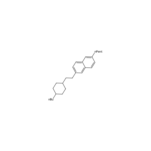 CCCCCc1ccc2cc(CCC3CCC(CCCC)CC3)ccc2c1